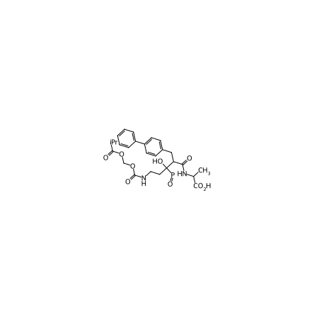 CC(C)C(=O)OCOC(=O)NCCC(O)(P=O)C(Cc1ccc(-c2ccccc2)cc1)C(=O)NC(C)C(=O)O